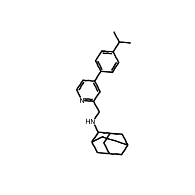 CC(C)c1ccc(-c2ccnc(CNC3C4CC5CC(C4)CC3C5)c2)cc1